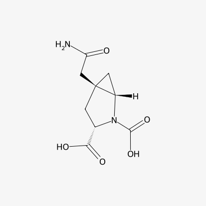 NC(=O)C[C@@]12C[C@@H]1N(C(=O)O)[C@H](C(=O)O)C2